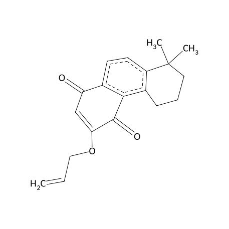 C=CCOC1=CC(=O)c2ccc3c(c2C1=O)CCCC3(C)C